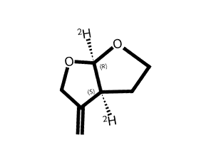 [2H][C@]12OCC[C@@]1([2H])C(=C)CO2